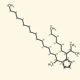 CCCCCCCCCCCCCCCC(C)n1ccnc1C(CCCCCC)C(C)C